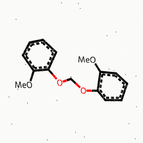 COc1ccccc1O[CH]Oc1ccccc1OC